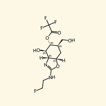 O=C(O[C@@H]1[C@@H](CO)C[C@@H]2OC(NCCF)=N[C@@H]2[C@H]1O)C(F)(F)F